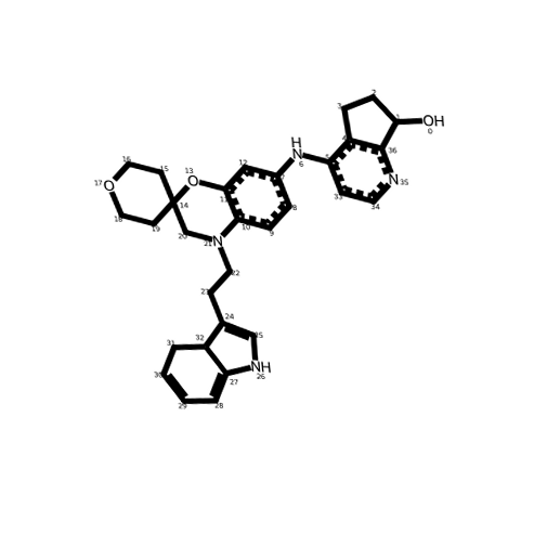 OC1CCc2c(Nc3ccc4c(c3)OC3(CCOCC3)CN4CCC3=CNC4=CC=CCC34)ccnc21